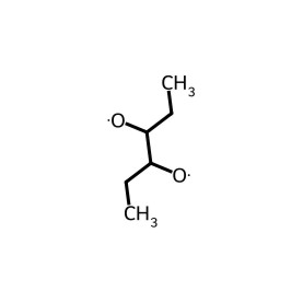 CCC([O])C([O])CC